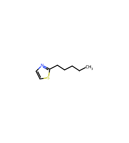 C[CH]CCCc1nccs1